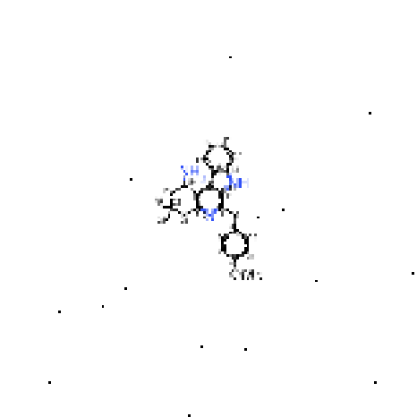 COc1ccc(Cc2nc3c(c4c2[nH]c2ccccc24)C(N)CC(C)(C)C3)cc1